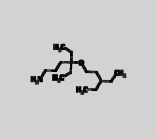 CCC(CC)CCOC(CC)(CC)CCCN